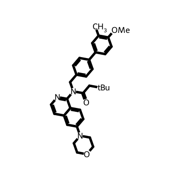 COc1ccc(-c2ccc(CN(C(=O)CC(C)(C)C)c3nccc4cc(N5CCOCC5)ccc34)cc2)cc1C